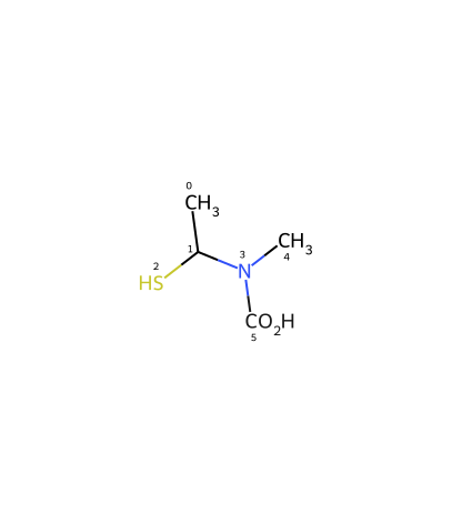 CC(S)N(C)C(=O)O